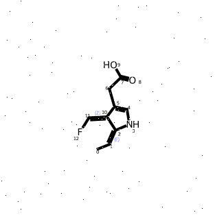 C/C=c1/[nH]cc(CC(=O)O)/c1=C/F